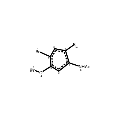 CC(=O)Nc1cc(OC(C)C)c(Br)cc1Br